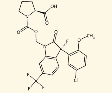 COc1ccc(Cl)cc1[C@]1(F)C(=O)N(COC(=O)N2CCC[C@H]2C(=O)O)c2cc(C(F)(F)F)ccc21